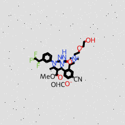 COC(=O)C1=C(C)N(c2cccc(C(F)C(F)F)c2)c2n[nH]c(=O)n2C1c1ccc(C#N)cc1CC[N+](C)(C)CCOCCO.O=C[O-]